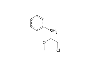 COC(CCl)[SiH2]c1ccccc1